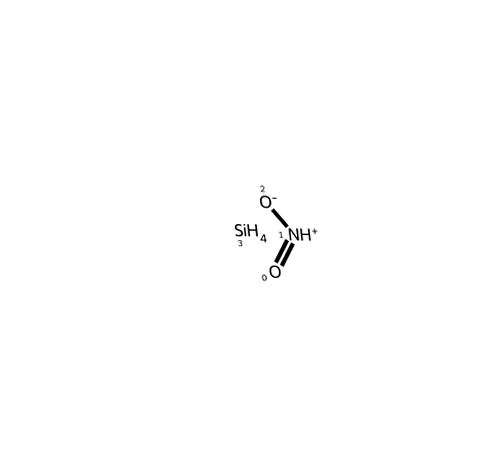 O=[NH+][O-].[SiH4]